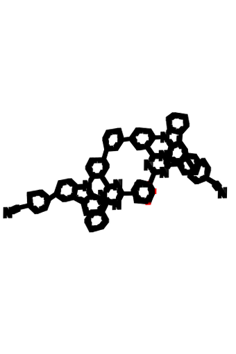 N#Cc1ccc(-c2ccc3c(c2)c2ccccc2n3-c2ccc(-c3cccc(-c4ccc(-n5c6ccccc6c6cc(-c7ccc(C#N)cc7)ccc65)c(-c5nc(-c6ccccc6)nc(-c6ccccc6)n5)c4)c3)cc2-c2nc(-c3ccccc3)nc(-c3ccccc3)n2)cc1